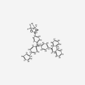 CC1(C)OB(c2ccc(N(c3ccc(-c4ccccc4)cc3)c3ccc(-c4cc5ccccc5c5ccccc45)cc3)cc2)OC1(C)C